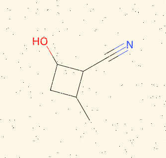 CC1CC(O)C1C#N